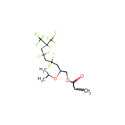 C=CC(=O)OCC(CC(F)(F)CC(F)(F)CC(F)(C(F)(F)F)C(F)(F)F)OC(C)C